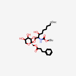 CCCCCCCCCCCCCCCC(O)C(CO[C@@]1(COC(=O)CCc2ccccc2)OCC(O)C(O)[C@H]1O)NC(=O)OC(C)(C)C